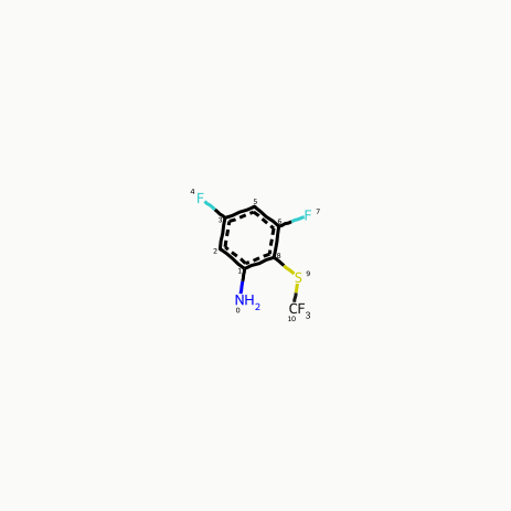 Nc1cc(F)cc(F)c1SC(F)(F)F